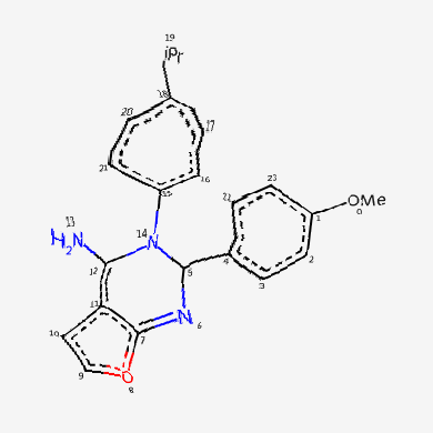 COc1ccc(C2N=c3occc3=C(N)N2c2ccc(C(C)C)cc2)cc1